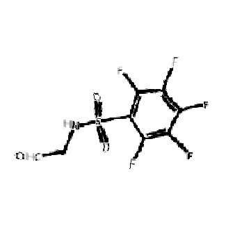 O=[C]CNS(=O)(=O)c1c(F)c(F)c(F)c(F)c1F